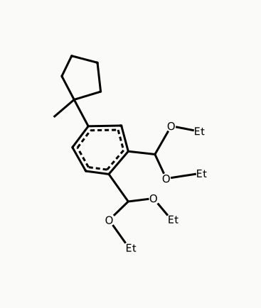 CCOC(OCC)c1ccc(C2(C)CCCC2)cc1C(OCC)OCC